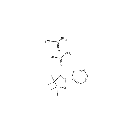 CC1(C)OB(c2cncnc2)OC1(C)C.NC(=O)O.NC(=O)O